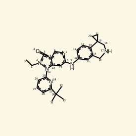 CCn1c(=O)c2cnc(Nc3ccc4c(c3)CNCC43CC3)cc2n1-c1cccc(C(C)(C)C)n1